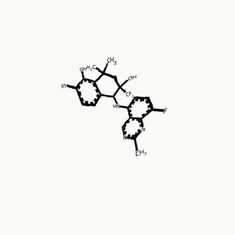 Cc1ncc2c(NC3c4ccc(C(C)C)c(O)c4C(C)(C)CC3(O)C(F)(F)F)ccc(F)c2n1